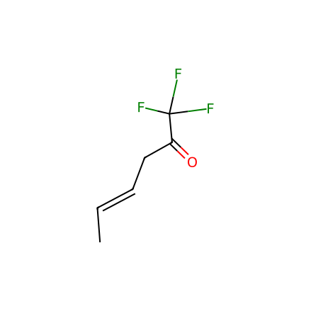 CC=CCC(=O)C(F)(F)F